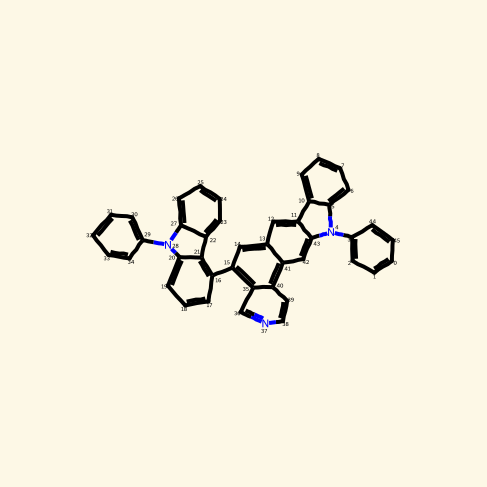 c1ccc(-n2c3ccccc3c3cc4cc(-c5cccc6c5c5ccccc5n6-c5ccccc5)c5cnccc5c4cc32)cc1